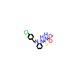 COC(=O)NC(=S)Nc1ccccc1N=Cc1ccc(Cl)cc1